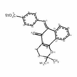 CCOC(=O)c1ccc(N=C2C(=O)C3=C(OC(C)(C)CC3)c3ccccc32)cc1